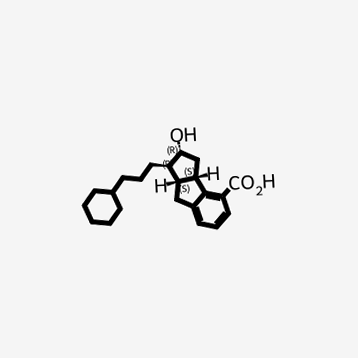 O=C(O)c1cccc2c1[C@H]1C[C@@H](O)[C@H](CCCC3CCCCC3)[C@H]1C2